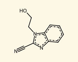 N#Cc1nc2ccccc2n1CCO